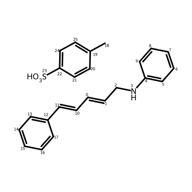 C(=CCNc1ccccc1)/C=C/c1ccccc1.Cc1ccc(S(=O)(=O)O)cc1